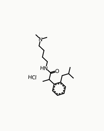 CC(C)Cc1ccccc1C(C)C(=O)NCCCCN(C)C.Cl